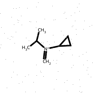 C=[N+](C(C)C)C1CC1